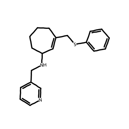 C1=C(CSc2ccccc2)CCCCC1NCc1cccnc1